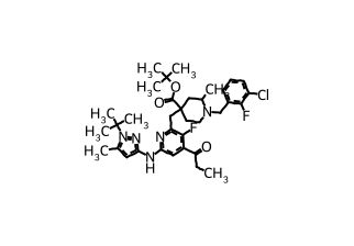 CCC(=O)c1cc(Nc2cc(C)n(C(C)(C)C)n2)nc(CC2(C(=O)OC(C)(C)C)CCN(Cc3cccc(Cl)c3F)C(C)C2)c1F